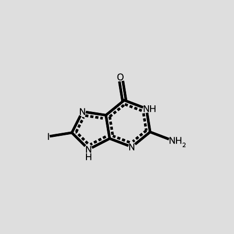 Nc1nc2[nH]c(I)nc2c(=O)[nH]1